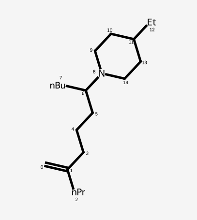 C=C(CCC)CCCC(CCCC)N1CCC(CC)CC1